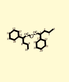 CCCC(SOSC(CCC)C1CCCCC1)C1CCCCC1